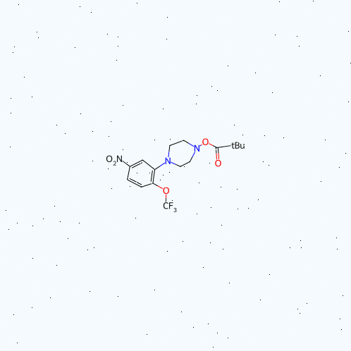 CC(C)(C)C(=O)ON1CCN(c2cc([N+](=O)[O-])ccc2OC(F)(F)F)CC1